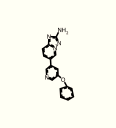 Nc1nc2ccc(-c3cncc(Oc4ccccc4)c3)cn2n1